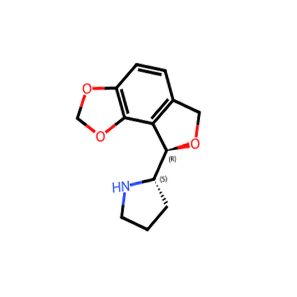 c1cc2c(c3c1CO[C@H]3[C@@H]1CCCN1)OCO2